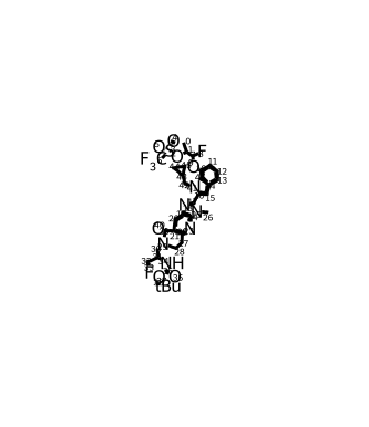 CC(OS(=O)(=O)C(F)(F)F)C(F)Oc1cccc2cc(-c3nc4cc5c(nc4n3C)CCN(CC(CF)NC(=O)OC(C)(C)C)C5=O)n(CC3CC3)c12